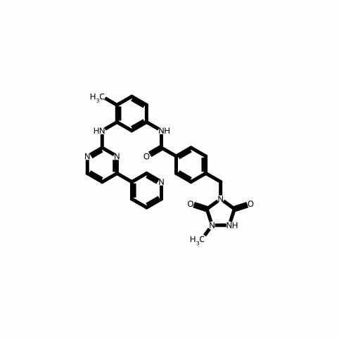 Cc1ccc(NC(=O)c2ccc(Cn3c(=O)[nH]n(C)c3=O)cc2)cc1Nc1nccc(-c2cccnc2)n1